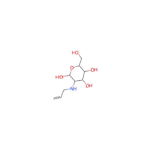 C=CCNC1C(O)OC(CO)C(O)C1O